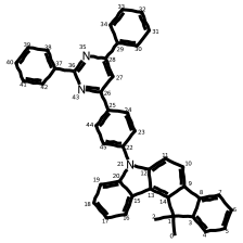 CC1(C)c2ccccc2-c2ccc3c(c21)c1ccccc1n3-c1ccc(-c2cc(-c3ccccc3)nc(-c3ccccc3)n2)cc1